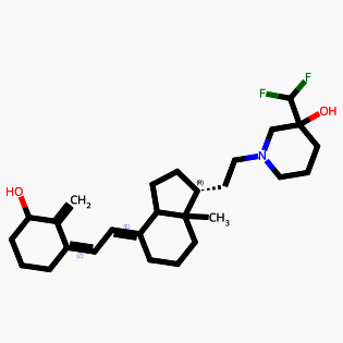 C=C1/C(=C\C=C2/CCCC3(C)C2CC[C@@H]3CCN2CCCC(O)(C(F)F)C2)CCCC1O